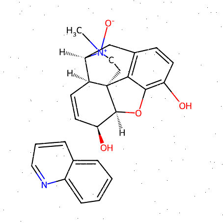 C[N+]1([O-])CC[C@]23c4c5ccc(O)c4O[C@H]2[C@@H](O)C=C[C@H]3[C@H]1C5.c1ccc2ncccc2c1